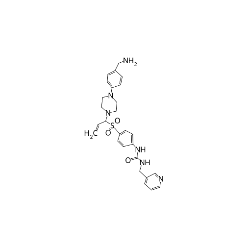 C=CC(N1CCN(c2ccc(CN)cc2)CC1)S(=O)(=O)c1ccc(NC(=O)NCc2cccnc2)cc1